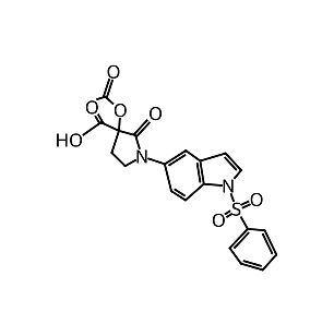 CC(=O)OC1(C(=O)O)CCN(c2ccc3c(ccn3S(=O)(=O)c3ccccc3)c2)C1=O